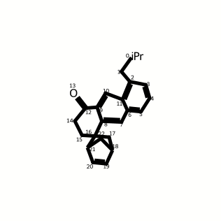 CC(C)Cc1cccc2cc3c(cc12)C(=O)CCC31CC2C=CC1C2